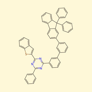 c1ccc(-c2nc(-c3cccc(-c4cccc(-c5ccc6c(c5)C(c5ccccc5)(c5ccccc5)c5ccccc5-6)c4)c3)nc(-c3cc4ccccc4s3)n2)cc1